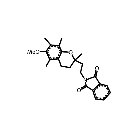 COc1c(C)c(C)c2c(c1C)CCC(C)(CCN1C(=O)c3ccccc3C1=O)O2